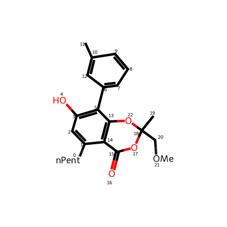 CCCCCc1cc(O)c(-c2cccc(C)c2)c2c1C(=O)OC(C)(COC)O2